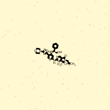 C=CCN1C(=O)c2cnc(Nc3cc(N[C@H](CO)c4ccccc4)c(-c4nc(N5CCOCC5)no4)cn3)nc2C1(C)C